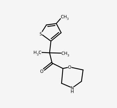 Cc1csc(C(C)(C)C(=O)C2CNCCO2)c1